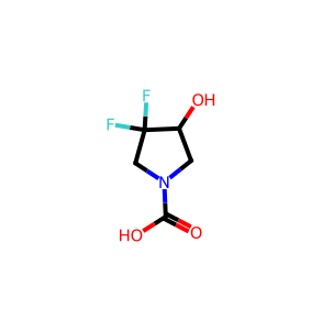 O=C(O)N1CC(O)C(F)(F)C1